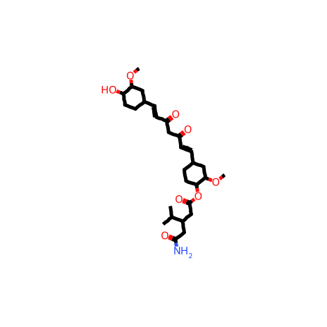 COC1CC(/C=C/C(=O)CC(=O)/C=C/C2CCC(OC(=O)CC(CC(N)=O)C(C)C)C(OC)C2)CCC1O